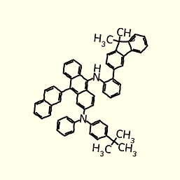 CC(C)(C)c1ccc(N(c2ccccc2)c2ccc3c(Nc4ccccc4-c4ccc5c(c4)-c4ccccc4C5(C)C)c4ccccc4c(-c4ccc5ccccc5c4)c3c2)cc1